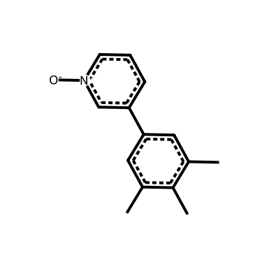 Cc1cc(-c2ccc[n+]([O-])c2)cc(C)c1C